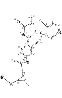 Cc1ccncc1-c1cc(NC(=O)OC(C)(C)C)c2cnc(NC(=O)C3C(C)C3CC#N)cc2c1